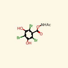 CC(=O)NOC(=O)c1c(Br)c(O)c(Br)c(O)c1Br